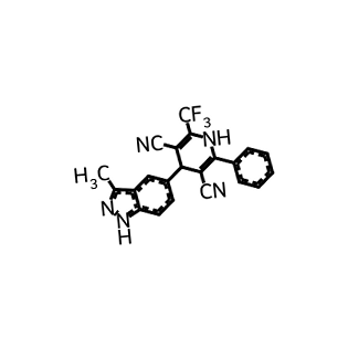 Cc1n[nH]c2ccc(C3C(C#N)=C(c4ccccc4)NC(C(F)(F)F)=C3C#N)cc12